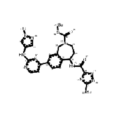 CCn1cc(Nc2nccc(-c3ccc4c(c3)CN(C(=O)OC(C)(C)C)CCC4NC(=O)c3noc(C(C)(C)C)n3)n2)cn1